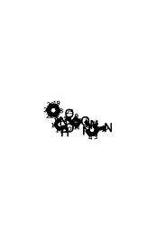 N#Cc1ccnc(OC2CC3(C2)O[C@@H]2CC[C@@H](c4ccccc4)N2C3=O)n1